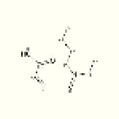 C=C(CC)CCCC.C=CC(=O)O